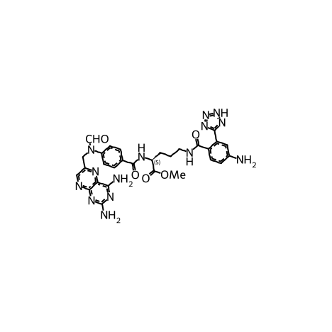 COC(=O)[C@H](CCCNC(=O)c1ccc(N)cc1-c1nn[nH]n1)NC(=O)c1ccc(N(C=O)Cc2cnc3nc(N)nc(N)c3n2)cc1